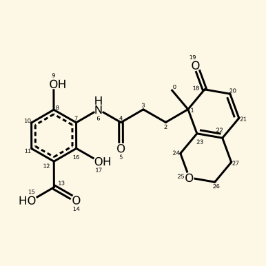 CC1(CCC(=O)Nc2c(O)ccc(C(=O)O)c2O)C(=O)C=CC2=C1COCC2